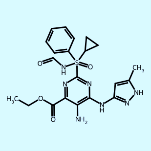 CCOC(=O)c1nc(S(=O)(NC=O)(c2ccccc2)C2CC2)nc(Nc2cc(C)[nH]n2)c1N